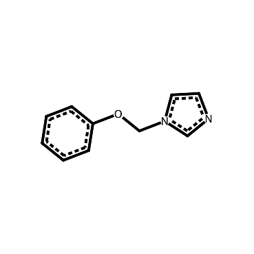 c1ccc(OCn2ccnc2)cc1